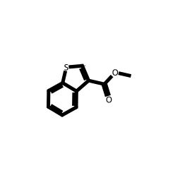 COC(=O)c1[c]sc2ccccc12